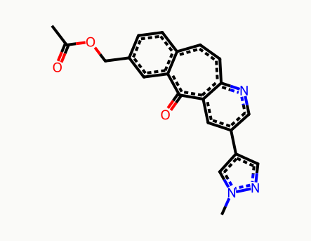 CC(=O)OCc1ccc2ccc3ncc(-c4cnn(C)c4)cc3c(=O)c2c1